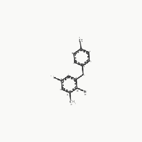 CCc1ccc(Cc2cc(I)cc(C)c2Br)cc1